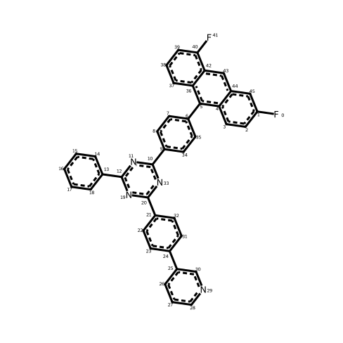 Fc1ccc2c(-c3ccc(-c4nc(-c5ccccc5)nc(-c5ccc(-c6cccnc6)cc5)n4)cc3)c3cccc(F)c3cc2c1